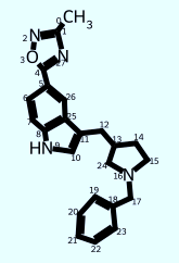 Cc1noc(-c2ccc3[nH]cc(CC4CCN(Cc5ccccc5)C4)c3c2)n1